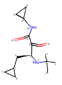 CC(C)(C)N[C@@H](CC1CC1)C(=O)C(=O)NC1CC1